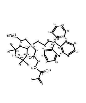 C=C(C)C(=O)OCC(O)C[N+](CCCCCCCCCCCC)(CCC[PH](c1ccccc1)(c1ccccc1)c1ccccc1)C1CC(C)(C)NC(C)(C)C1